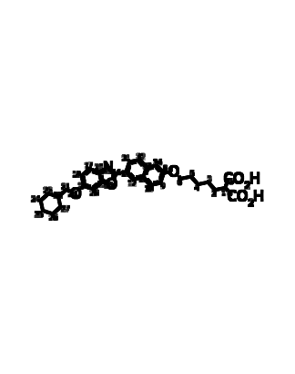 O=C(O)C(CCCCCOc1ccc2cc(-c3nc4ccc(OCC5CCCCC5)cc4o3)ccc2c1)C(=O)O